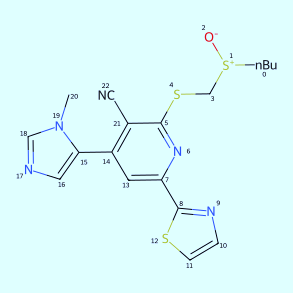 CCCC[S+]([O-])CSc1nc(-c2nccs2)cc(-c2cncn2C)c1C#N